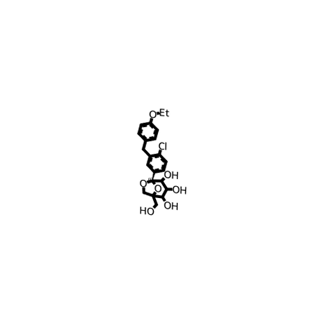 CCOc1ccc(Cc2cc([C@]34OCC(CO)(O3)C(O)C(O)C4O)ccc2Cl)cc1